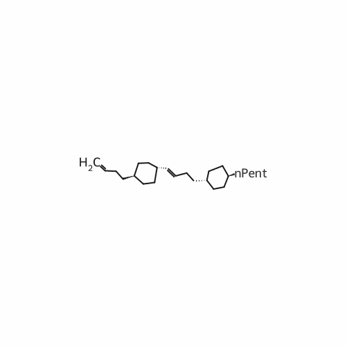 C=CCC[C@H]1CC[C@H](C=CCC[C@H]2CC[C@H](CCCCC)CC2)CC1